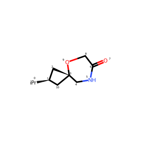 CC(C)[C@H]1C[C@@]2(CNC(=O)CO2)C1